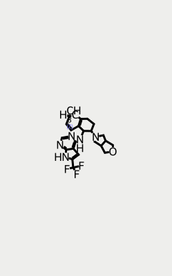 C#C/C=C\C1=C(C)CCC(N2CC3COCC3C2)C1Nc1ncnc2[nH]c(C(F)(F)F)cc12